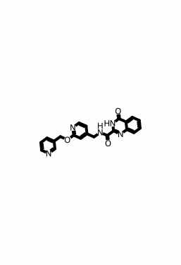 O=C(NCc1ccnc(OCc2cccnc2)c1)c1nc2ccccc2c(=O)[nH]1